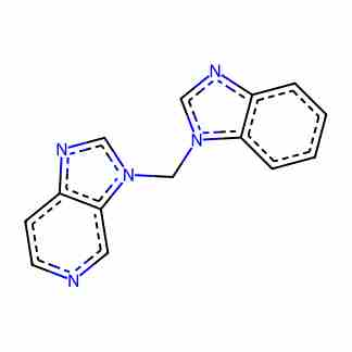 c1ccc2c(c1)ncn2Cn1cnc2ccncc21